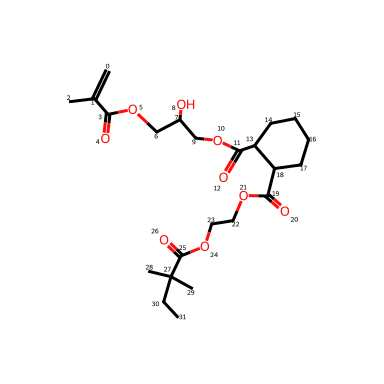 C=C(C)C(=O)OCC(O)COC(=O)C1CCCCC1C(=O)OCCOC(=O)C(C)(C)CC